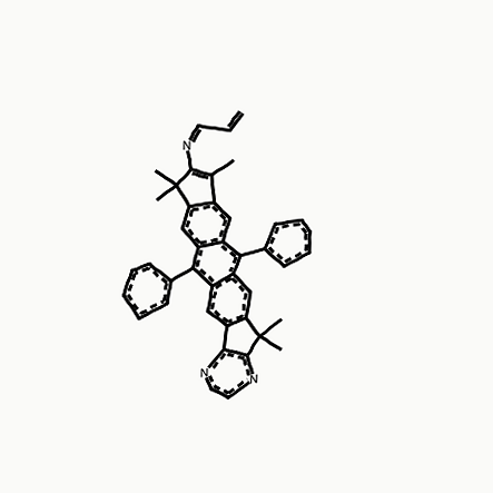 C=C/C=N\C1=C(C)c2cc3c(-c4ccccc4)c4cc5c(cc4c(-c4ccccc4)c3cc2C1(C)C)-c1nccnc1C5(C)C